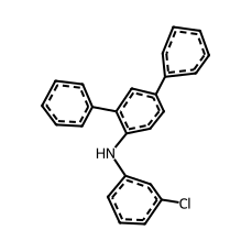 Clc1cccc(Nc2ccc(-c3ccccc3)cc2-c2ccccc2)c1